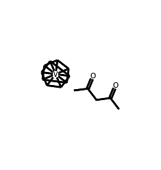 CC(=O)CC(C)=O.[CH]12[CH]3[CH]4[CH]5[CH]1[V]23451678[CH]2[CH]1[CH]6[CH]7[CH]28